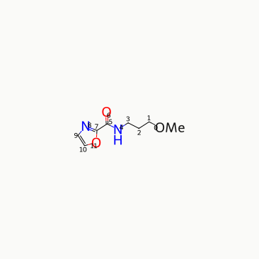 COCCCNC(=O)c1ncco1